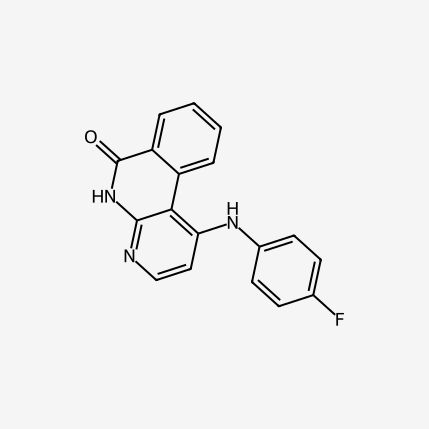 O=c1[nH]c2nccc(Nc3ccc(F)cc3)c2c2ccccc12